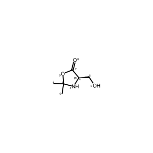 CC1(C)N[C@H](CO)C(=O)O1